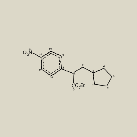 CCOC(=O)C(CC1CCCC1)c1ccc([N+](=O)[O-])cc1